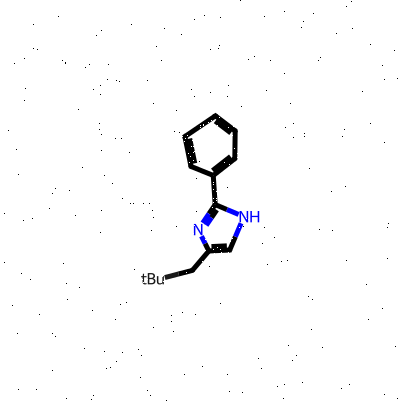 CC(C)(C)Cc1c[nH]c(-c2ccccc2)n1